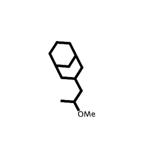 COC(C)CC1CC2CCCC(C2)C1